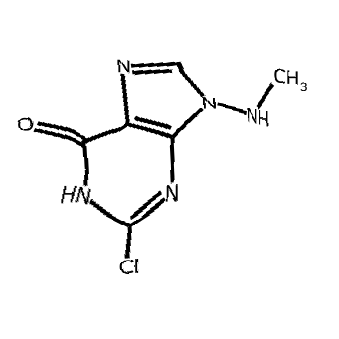 CNn1cnc2c(=O)[nH]c(Cl)nc21